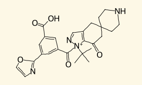 CC(C)(C)[N+]1(C(=O)c2cc(C(=O)O)cc(-c3ncco3)c2)N=CC2=C1C(=O)CC1(CCNCC1)C2